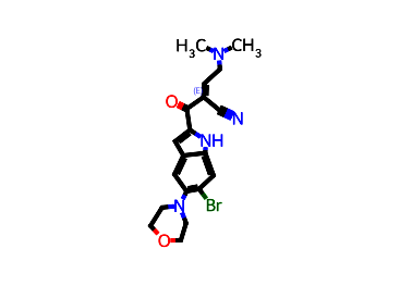 CN(C)C/C=C(\C#N)C(=O)c1cc2cc(N3CCOCC3)c(Br)cc2[nH]1